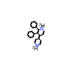 [2H]N1C=CC(=C2C=CN([2H])C(c3ccccc3)=C2c2ccccc2)C=C1